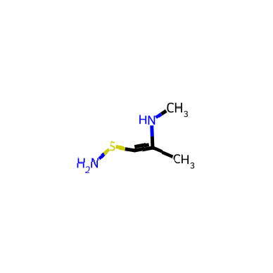 CN/C(C)=C\SN